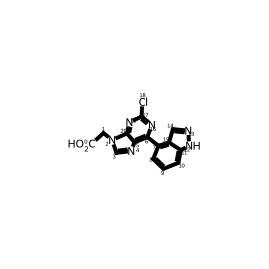 O=C(O)Cn1cnc2c(-c3cccc4[nH]ncc34)nc(Cl)nc21